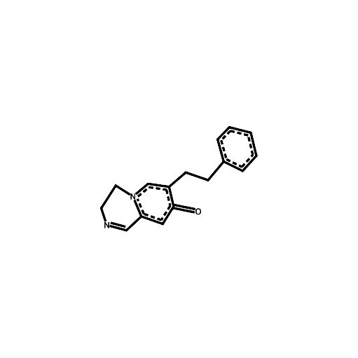 O=c1cc2n(cc1CCc1ccccc1)CCN=C2